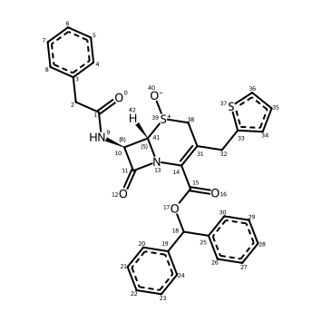 O=C(Cc1ccccc1)N[C@@H]1C(=O)N2C(C(=O)OC(c3ccccc3)c3ccccc3)=C(Cc3cccs3)C[S+]([O-])[C@@H]12